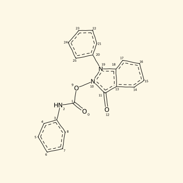 O=C(Nc1ccccc1)On1c(=O)c2ccccc2n1-c1ccccc1